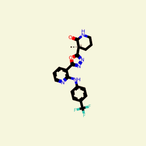 C[C@@]1(c2nnc(-c3cccnc3Nc3ccc(C(F)(F)F)cc3)o2)CCCNC1=O